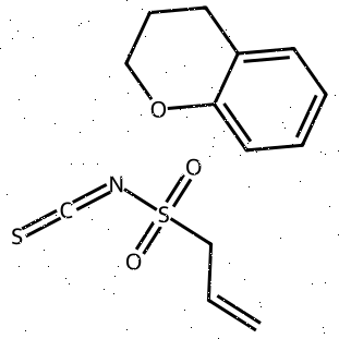 C=CCS(=O)(=O)N=C=S.c1ccc2c(c1)CCCO2